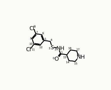 O=C(NSCc1cc(Cl)cc(Cl)c1)C1CCNCC1